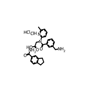 Cc1cccc(N(CC(=O)O)C(=O)c2cccc(CN)c2)n1.Cl.Cl.NC(=O)c1ccc2c(c1)CCC2